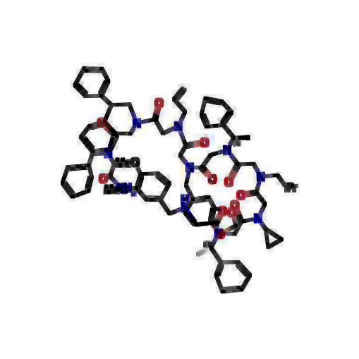 C=CCN(CC(=O)N(CC(=O)N(CC(N)=O)Cc1ccccc1)CC(c1ccccc1)c1ccccc1)C(=O)CN(Cc1ccc2c(c1)OCO2)C(=O)CN(C(=O)CN(CC(C)C)C(=O)CN(C(=O)CN(C(=O)CNCc1ccc(OC)c(OC)c1)[C@@H](C)c1ccccc1)C1CC1)[C@H](C)c1ccccc1